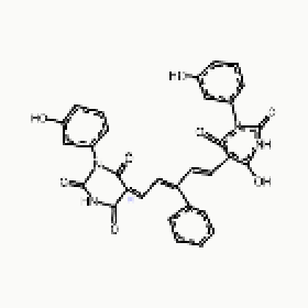 O=C1NC(=O)N(c2cccc(O)c2)C(=O)/C1=C\C=C(C=Cc1c(O)[nH]c(=O)n(-c2cccc(O)c2)c1=O)c1ccccc1